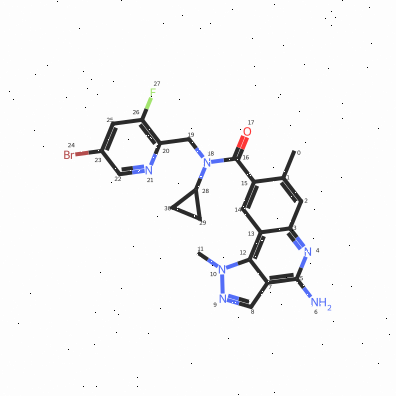 Cc1cc2nc(N)c3cnn(C)c3c2cc1C(=O)N(Cc1ncc(Br)cc1F)C1CC1